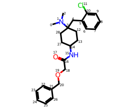 CN(C)C1(Cc2ccccc2Cl)CCC(NC(=O)COCc2ccccc2)CC1